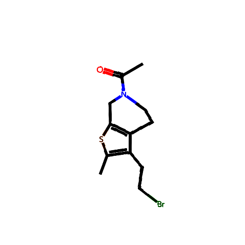 CC(=O)N1CCc2c(sc(C)c2CCBr)C1